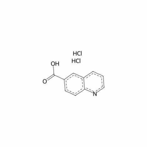 Cl.Cl.O=C(O)c1ccc2ncccc2c1